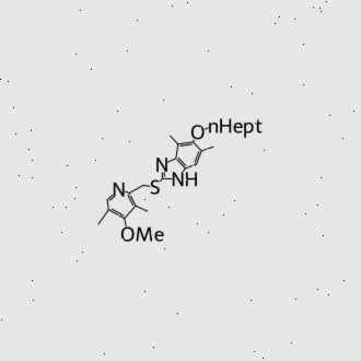 CCCCCCCOc1c(C)cc2[nH]c(SCc3ncc(C)c(OC)c3C)nc2c1C